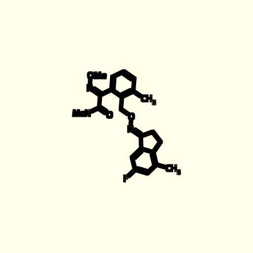 CNC(=O)/C(=N/OC)c1cccc(C)c1CO/N=C1\CCc2c(C)cc(F)cc21